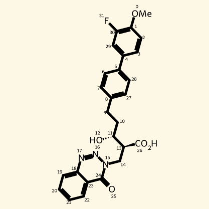 COc1ccc(-c2ccc(CC[C@@H](O)[C@H](Cn3nnc4ccccc4c3=O)C(=O)O)cc2)cc1F